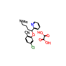 CNCCCC(Oc1cc(Cl)ccc1C#N)c1ccccn1.O=C(O)C(=O)O